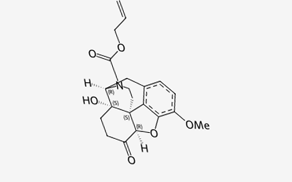 C=CCOC(=O)N1CC[C@]23c4c5ccc(OC)c4O[C@H]2C(=O)CC[C@@]3(O)[C@H]1C5